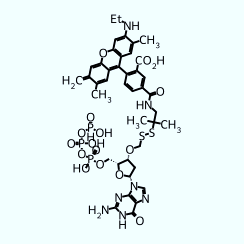 C=c1cc2c(cc1C)=C(c1ccc(C(=O)NCC(C)(C)SSCO[C@@H]3C[C@H](n4cnc5c(=O)[nH]c(N)nc54)O[C@@H]3COP(=O)(O)OP(=O)(O)O[PH](=O)O)cc1C(=O)O)c1cc(C)c(NCC)cc1O2